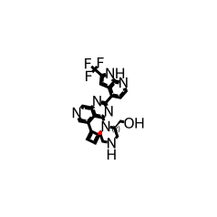 OC[C@H]1CNCCN1c1nc(-c2ccnc3[nH]c(C(F)(F)F)cc23)nc2cncc(C3=CC=C3)c12